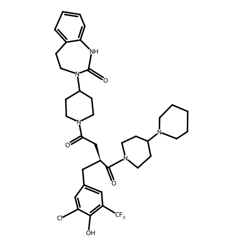 O=C(C[C@H](Cc1cc(Cl)c(O)c(C(F)(F)F)c1)C(=O)N1CCC(N2CCCCC2)CC1)N1CCC(N2CCc3ccccc3NC2=O)CC1